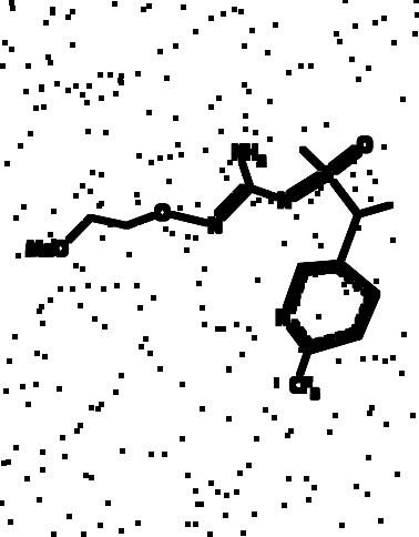 COCCO/N=C(\N)N=S(C)(=O)C(C)c1ccc(C(F)(F)F)nc1